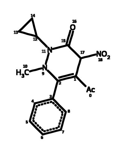 CC(=O)C1=C(c2ccccc2)N(C)N(C2CC2)C(=O)C1[N+](=O)[O-]